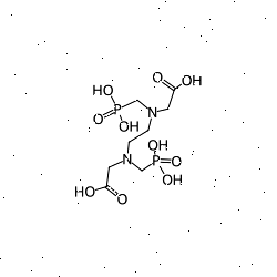 O=C(O)CN(CCN(CC(=O)O)CP(=O)(O)O)CP(=O)(O)O